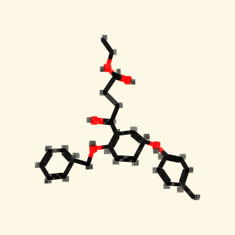 CCOC(=O)CCC(=O)c1cc(Oc2ccc(C)cc2)ccc1OCc1ccccc1